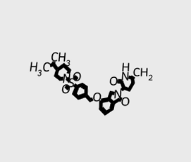 C=C1CCC(N2Cc3c(OCc4ccc(S(=O)(=O)N5CCC(C(C)C)CC5)cc4)cccc3C2=O)C(=O)N1